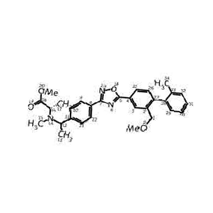 COCc1cc(-c2nc(-c3ccc(C(C)N(C)[C@@H](C)C(=O)OC)cc3)no2)ccc1-c1ccccc1C